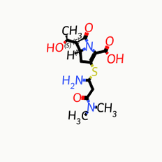 C[C@H](O)[C@H]1C(=O)N2C(C(=O)O)=C(SC(N)CC(=O)N(C)C)C[C@H]12